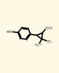 COc1ccc(C2C(C(=O)O)C2(C)C)cc1